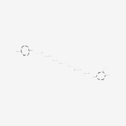 Oc1ccc(OCC(O)CNCCCCCCNCC(O)COc2ccc(O)c(O)c2)cc1O